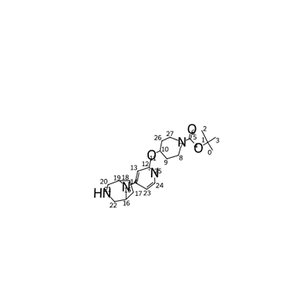 CC(C)(C)OC(=O)N1CCC(Oc2cc(N3C4CCC3CNC4)ccn2)CC1